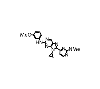 CNc1nccc(-c2nc3cnc(Nc4cccc(OC)c4)nc3n2C2CC2)n1